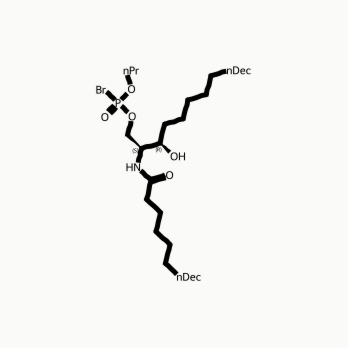 CCCCCCCCCCCCCCCC(=O)N[C@@H](COP(=O)(Br)OCCC)[C@H](O)CCCCCCCCCCCCCCC